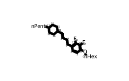 CCCCCCOc1ccc(CC/C=C/C2CCC(CCCCC)CC2)c(F)c1F